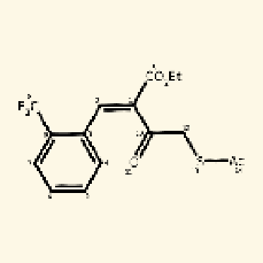 CCOC(=O)C(=Cc1ccccc1C(F)(F)F)C(=O)CSC(C)=O